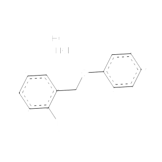 Cl.Cl.Fc1ccccc1COc1ccccc1